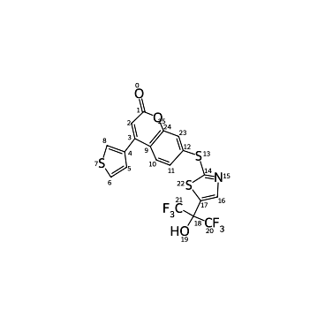 O=c1cc(-c2ccsc2)c2ccc(Sc3ncc(C(O)(C(F)(F)F)C(F)(F)F)s3)cc2o1